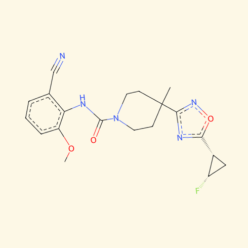 COc1cccc(C#N)c1NC(=O)N1CCC(C)(c2noc([C@@H]3C[C@@H]3F)n2)CC1